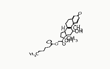 CCCCCC(=O)OCC(=O)[C@@]1(O)CC[C@H]2C3=C(C(O)C[C@@]21C)[C@@]1(C)C=CC(=O)C=C1CC3